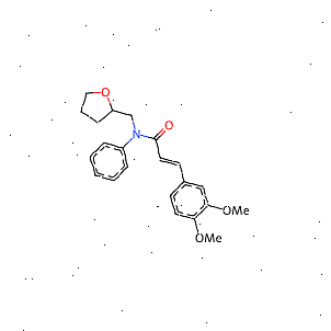 COc1ccc(/C=C/C(=O)N(CC2CCCO2)c2ccccc2)cc1OC